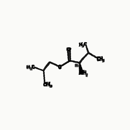 CC(C)COC(=O)[C@H](N)C(C)C